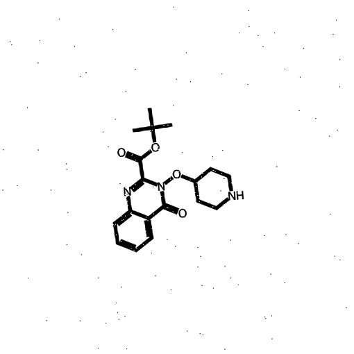 CC(C)(C)OC(=O)c1nc2ccccc2c(=O)n1OC1CCNCC1